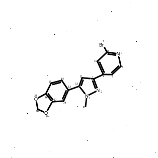 Cn1nc(-c2ccnc(Br)c2)cc1-c1ccc2c(c1)OCO2